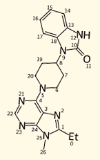 CCc1nc2c(N3CCC(n4c(=O)[nH]c5ccccc54)CC3)ncnc2n1C